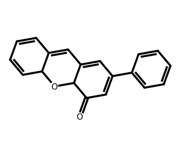 O=C1C=C(c2ccccc2)C=C2C=C3C=CC=CC3OC12